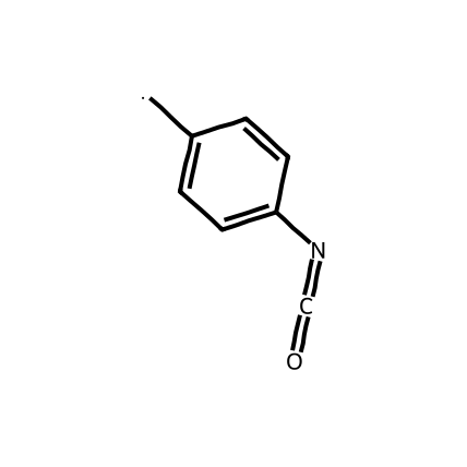 [CH2]c1ccc(N=C=O)cc1